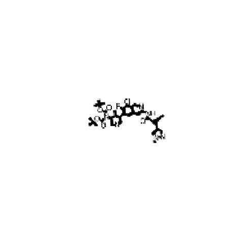 Cc1c(-c2cc3cc(NC(=O)C4C(C)C4c4cnn(C)c4)ncc3c(Cl)c2F)cncc1N(C(=O)OC(C)(C)C)C(=O)OC(C)(C)C